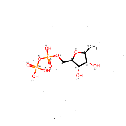 C[C@@H]1O[C@H](COP(=O)(O)OP(=O)(O)O)[C@@H](O)[C@H]1O